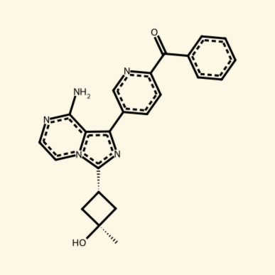 C[C@]1(O)C[C@H](c2nc(-c3ccc(C(=O)c4ccccc4)nc3)c3c(N)nccn32)C1